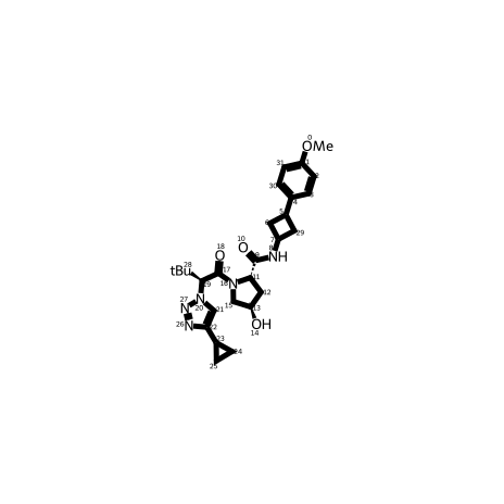 COc1ccc(C2CC(NC(=O)[C@@H]3C[C@@H](O)CN3C(=O)[C@@H](n3cc(C4CC4)nn3)C(C)(C)C)C2)cc1